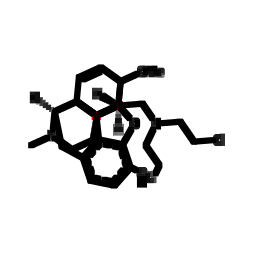 COC12C=CC3(C[C@@H]1CN(CCCl)CCCl)[C@H]1Cc4ccc(O)c5c4[C@@]3(CCN1C)[C@H]2O5